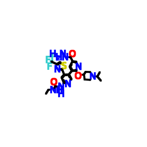 CCNC(=O)Nc1cc(-c2nc(C(F)(F)F)cs2)c(-c2cc(C(=O)NN)cnc2OC2CCN(C(C)C)CC2)cn1